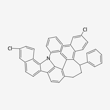 Clc1ccc2c3c(ccc2c1)-c1c(ccc2c4ccc5cc(Cl)ccc5c4n(-c4ccccc4)c12)CCC3c1ccccc1